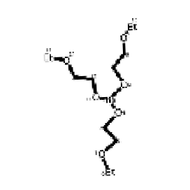 CCOCCOB(OCCOCC)OCCOCC